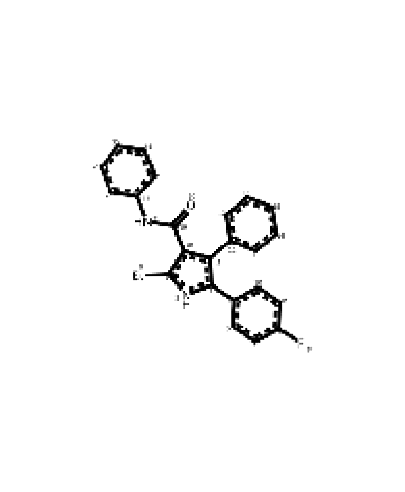 CCc1[nH]c(-c2ccc(F)cc2)c(-c2ccccc2)c1C(=O)Nc1ccccc1